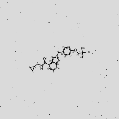 O=C(NCC1CC1)c1nccc2nn(Cc3ccc(OCC(F)(F)F)nc3)cc12